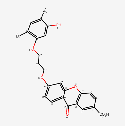 CCc1cc(C(C)=O)c(O)cc1OCCCOc1ccc2c(=O)c3cc(C(=O)O)ccc3oc2c1